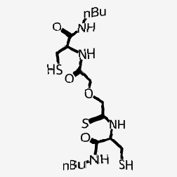 CCCCNC(=O)C(CS)NC(=O)COCC(=S)NC(CS)C(=O)NCCCC